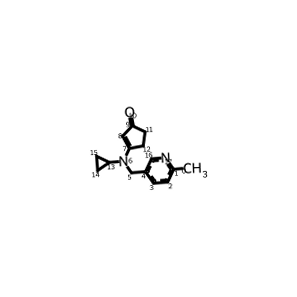 Cc1ccc(CN(C2=CC(=O)CC2)C2CC2)cn1